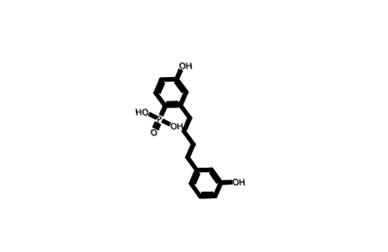 O=P(O)(O)c1ccc(O)cc1CCCCc1cccc(O)c1